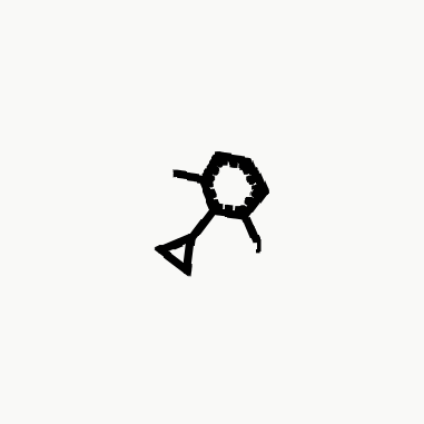 Cc1cccc(I)c1C1CC1